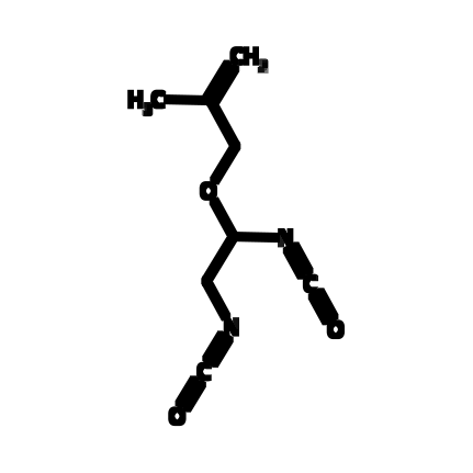 C=C(C)COC(CN=C=O)N=C=O